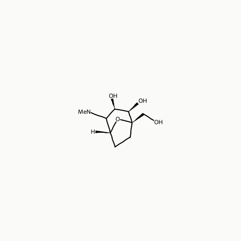 CNC1[C@@H](O)[C@@H](O)[C@]2(CO)CC[C@H]1O2